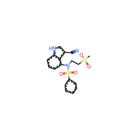 CS(=O)(=O)CCN(c1cccc2[nH]cc(C#N)c12)S(=O)(=O)c1ccccc1